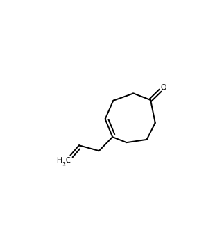 C=CC/C1=C/CCC(=O)CCC1